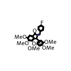 COc1cc(C2/C(=C/c3ccc(F)cc3)C(=O)c3cc(OC)c(OC)c(OC)c32)cc(OC)c1OC